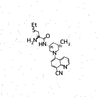 CCSC[C@H](N)C(=O)N[C@@H]1C[C@H](C)CN(c2ccc(C#N)c3ncccc23)C1